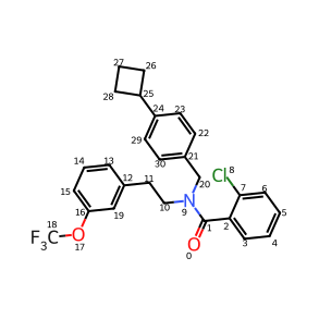 O=C(c1ccccc1Cl)N(CCc1cccc(OC(F)(F)F)c1)Cc1ccc(C2CCC2)cc1